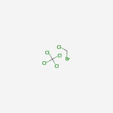 ClC(Cl)(Cl)Cl.ClCBr